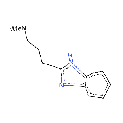 C[N]CCCc1nc2ccccc2[nH]1